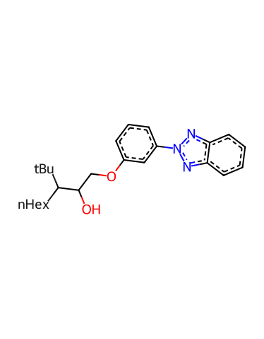 CCCCCCC(C(O)COc1cccc(-n2nc3ccccc3n2)c1)C(C)(C)C